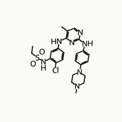 CCS(=O)(=O)Nc1cc(Nc2nc(Nc3ccc(N4CCN(C)CC4)cc3)ncc2C)ccc1Cl